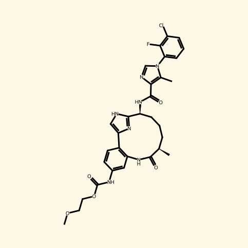 COCCOC(=O)Nc1ccc2c(c1)NC(=O)[C@H](C)CCC[C@H](NC(=O)c1ncn(-c3cccc(Cl)c3F)c1C)c1nc-2c[nH]1